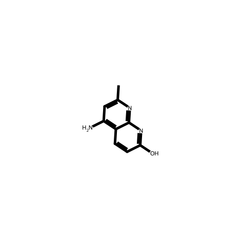 Cc1cc(N)c2ccc(O)nc2n1